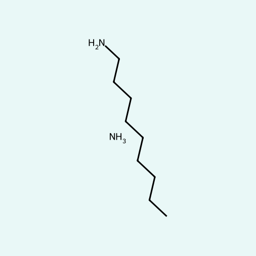 CCCCCCCCCN.N